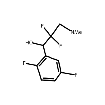 CNCC(F)(F)C(O)c1cc(F)ccc1F